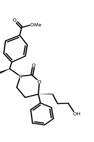 COC(=O)c1ccc([C@H](C)N2CC[C@](CCCO)(c3ccccc3)OC2=O)cc1